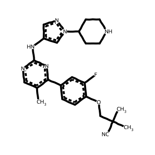 Cc1cnc(Nc2cnn(C3CCNCC3)c2)nc1-c1ccc(OCC(C)(C)C#N)c(F)c1